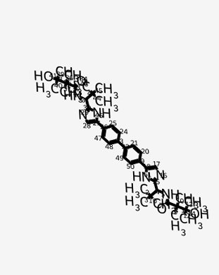 CC(C)(C)C(NC(=O)C(C)(C)C(C)(C)O)c1ncc(-c2ccc(-c3ccc(-c4cnc([C@@H](NC(=O)C(C)(C)C(C)(C)O)C(C)(C)C)[nH]4)cc3)cc2)[nH]1